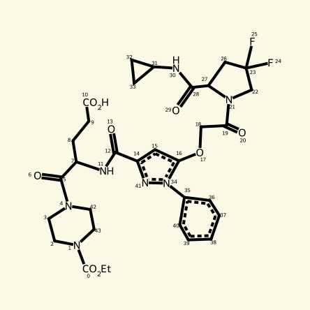 CCOC(=O)N1CCN(C(=O)C(CCC(=O)O)NC(=O)c2cc(OCC(=O)N3CC(F)(F)CC3C(=O)NC3CC3)n(-c3ccccc3)n2)CC1